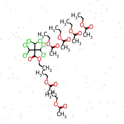 CCOC(=O)C(C(Cl)Cl)(C(Cl)Cl)C(Cl)Cl.CCOC(C)=O.CCOC(C)=O.CCOC(C)=O.CCOC(C)=O.CCOC(C)=O.CCOC(C)=O